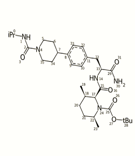 CC(C)NC(=O)N1CCC(c2ccc(C[C@H](NC(=O)[C@@H]3[C@H](C)CC[C@H](C)N3C(=O)OC(C)(C)C)C(N)=O)cc2)CC1